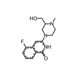 CN1CCN(c2cc3c(F)cccc3c(=O)[nH]2)CC1CO